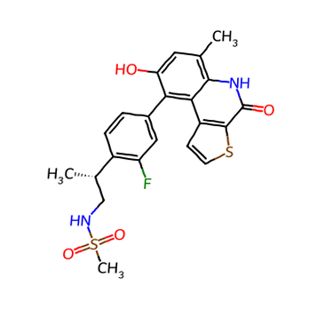 Cc1cc(O)c(-c2ccc([C@@H](C)CNS(C)(=O)=O)c(F)c2)c2c1[nH]c(=O)c1sccc12